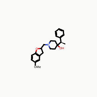 COc1ccc2c(c1)CC(CN1CCC(O)([C@H](C)c3ccccc3)CC1)O2